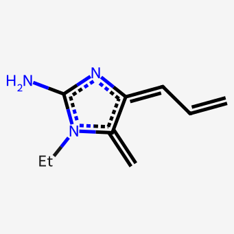 C=C/C=c1/nc(N)n(CC)c1=C